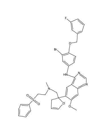 COc1cc2ncnc(Nc3ccc(OCc4cccc(F)c4)c(Br)c3)c2cc1C1(CN(C)CCS(=O)(=O)c2ccccc2)CC=CO1